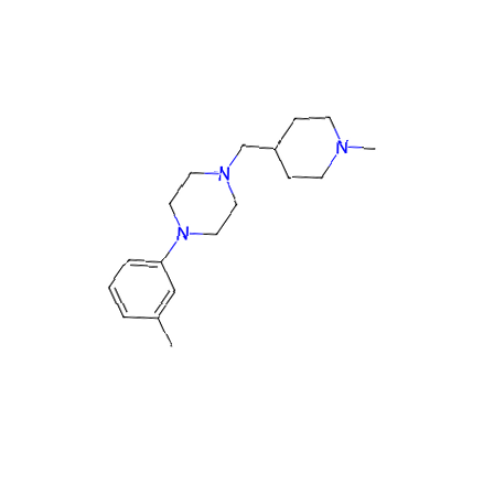 Cc1cccc(N2CCN(CC3CCN(C)CC3)CC2)c1